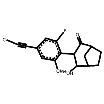 COc1cc(C#CCl)cc(F)c1C1C(=O)C2CCC(C2)C1O